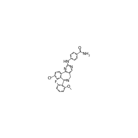 COc1cccc(F)c1C1=NCc2cnc(Nc3ccc(C(N)=O)cc3)nc2-c2ccc(Cl)cc21